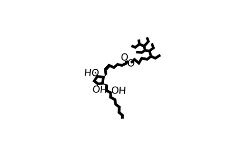 CCCCCCC[C@H](O)CC[C@@H]1[C@@H](C/C=C\CCCC(=O)OCCCCC(CC)C(CC)C(CC)C(CC)C(C)CC)[C@@H](O)C[C@H]1O